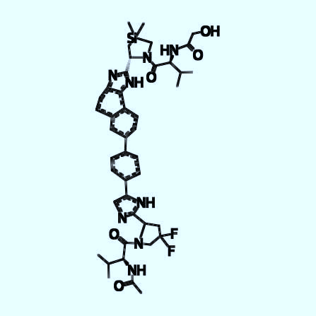 CC(=O)N[C@H](C(=O)N1CC(F)(F)CC1c1ncc(-c2ccc(-c3ccc4c(ccc5nc([C@@H]6C[Si](C)(C)CN6C(=O)[C@@H](NC(=O)CO)C(C)C)[nH]c54)c3)cc2)[nH]1)C(C)C